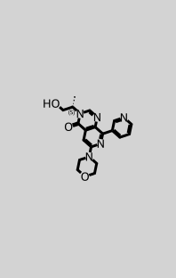 C[C@@H](CO)n1cnc2c(-c3cccnc3)nc(N3CCOCC3)cc2c1=O